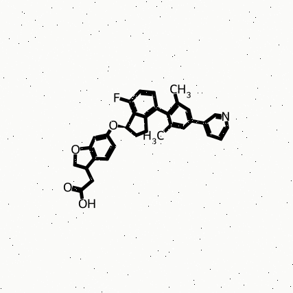 Cc1cc(-c2cccnc2)cc(C)c1-c1ccc(F)c2c1CC[C@H]2Oc1ccc2c(c1)OCC2CC(=O)O